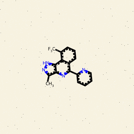 Cc1n[nH]c2c1nc(-c1ccccn1)c1cccc(C(F)(F)F)c12